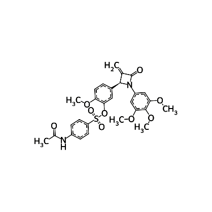 C=C1C(=O)N(c2cc(OC)c(OC)c(OC)c2)[C@H]1c1ccc(OC)c(OS(=O)(=O)c2ccc(NC(C)=O)cc2)c1